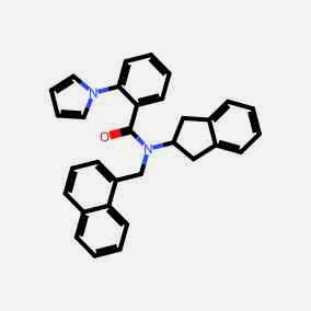 O=C(c1ccccc1-n1cccc1)N(Cc1cccc2ccccc12)C1Cc2ccccc2C1